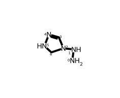 NNN1C=NNC1